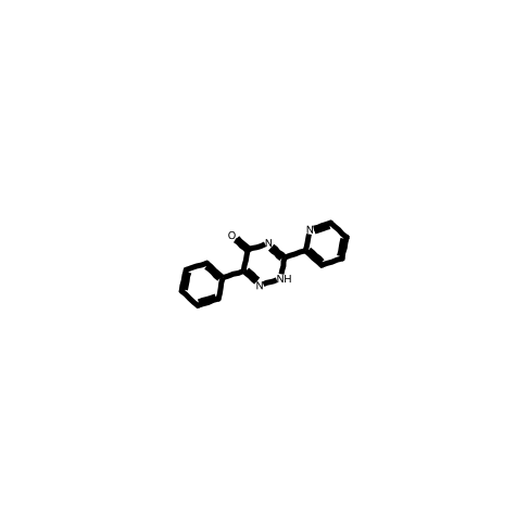 O=c1nc(-c2ccccn2)[nH]nc1-c1ccccc1